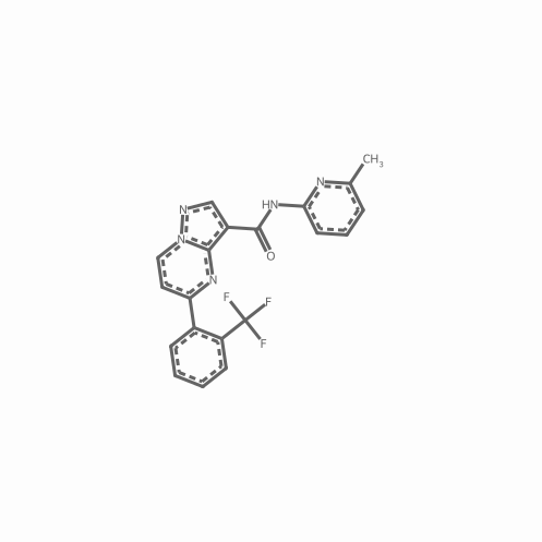 Cc1cccc(NC(=O)c2cnn3ccc(-c4ccccc4C(F)(F)F)nc23)n1